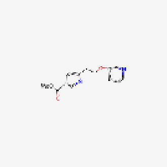 COC(=O)c1ccc(CCOc2cccnc2)nc1